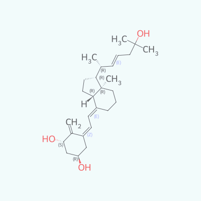 C=C1/C(=C\C=C2/CCC[C@]3(C)[C@@H]([C@H](C)/C=C/CC(C)(C)O)CC[C@@H]23)C[C@@H](O)C[C@@H]1O